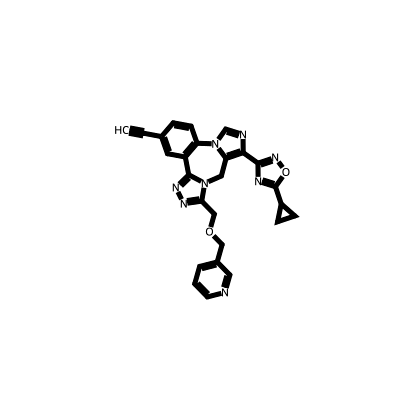 C#Cc1ccc2c(c1)-c1nnc(COCc3cccnc3)n1Cc1c(-c3noc(C4CC4)n3)ncn1-2